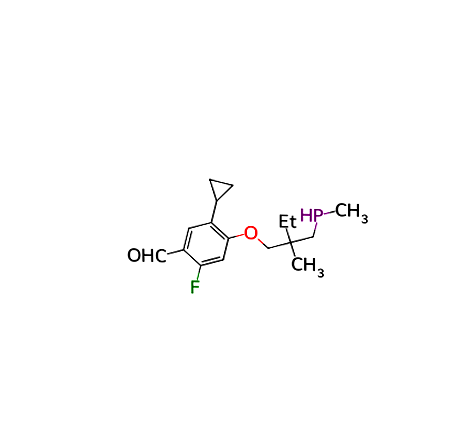 CCC(C)(COc1cc(F)c(C=O)cc1C1CC1)CPC